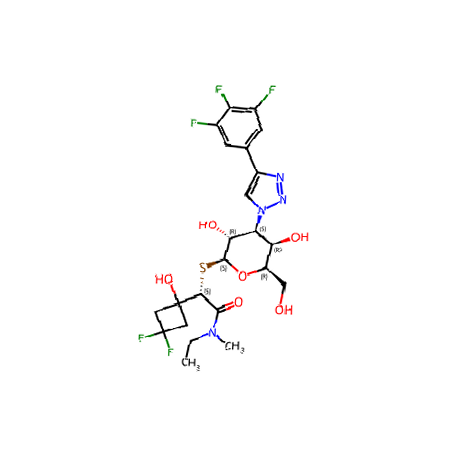 CCN(C)C(=O)[C@@H](S[C@@H]1O[C@H](CO)[C@H](O)[C@H](n2cc(-c3cc(F)c(F)c(F)c3)nn2)[C@H]1O)C1(O)CC(F)(F)C1